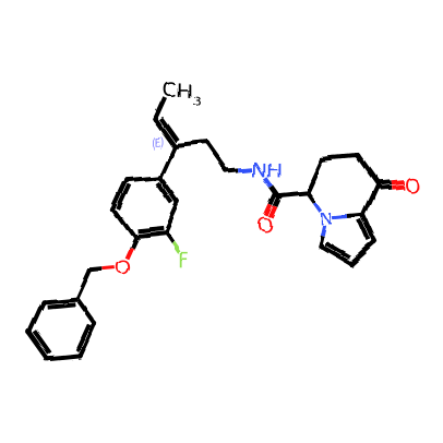 C/C=C(\CCNC(=O)C1CCC(=O)c2cccn21)c1ccc(OCc2ccccc2)c(F)c1